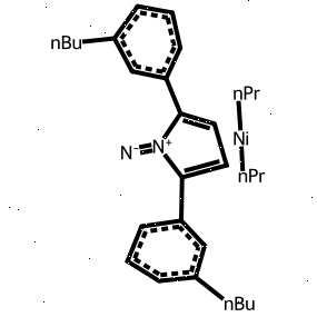 CCCCc1cccc(C2=CC=C(c3cccc(CCCC)c3)[N+]2=[N-])c1.CC[CH2][Ni][CH2]CC